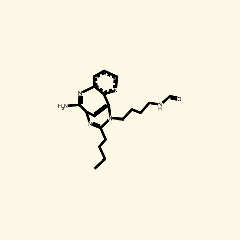 CCCCC1=NC2C=C(c3ncccc3N=C2N)N1CCCCNC=O